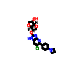 O[C@@H]1CO[C@H]2[C@@H]1OC[C@H]2Oc1nc2nc(-c3ccc(N4CCC4)cc3)c(Cl)cc2[nH]1